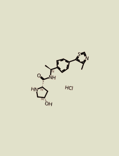 Cc1ncsc1-c1ccc([C@H](C)NC(=O)[C@@H]2C[C@H](O)CN2)cc1.Cl